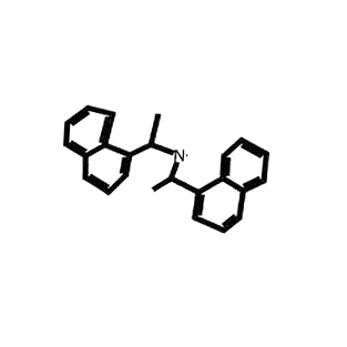 CC([N]C(C)c1cccc2ccccc12)c1cccc2ccccc12